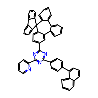 c1ccc(-c2nc(-c3ccc(-c4cccc5ccccc45)cc3)nc(-c3ccc4c(c3)-c3ccccc3-c3ccccc3C43c4ccccc4-c4ccccc43)n2)nc1